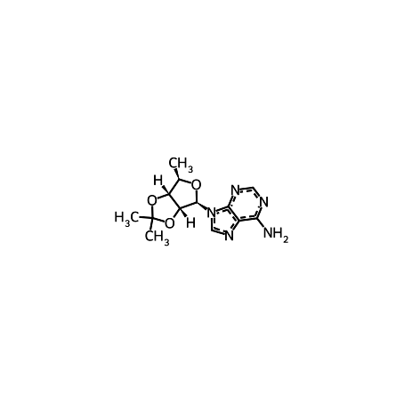 C[C@H]1O[C@@H](n2cnc3c(N)ncnc32)[C@@H]2OC(C)(C)O[C@@H]21